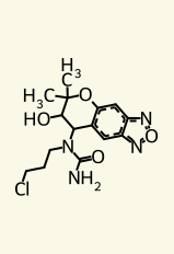 CC1(C)Oc2cc3nonc3cc2C(N(CCCCl)C(N)=O)C1O